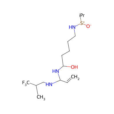 C=CC(NCC(C)C(F)(F)F)NC(O)CCCCN[S+]([O-])C(C)C